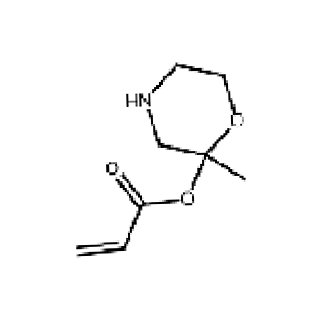 C=CC(=O)OC1(C)CNCCO1